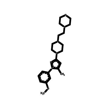 COc1cccc(-n2nc(N3CCN(CCN4CCOCC4)CC3)cc2C)c1